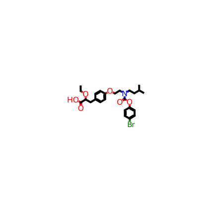 CCOC(Cc1ccc(OCCN(CCC(C)C)C(=O)Oc2ccc(Br)cc2)cc1)C(=O)O